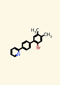 Cc1cc(Br)c(-c2ccc(-c3ccccn3)cc2)cc1C